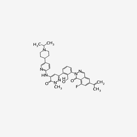 C=C(C)c1cc(F)c2c(=O)n(-c3cccc(-c4cc(Nc5ccc(C6CCN(C(C)C)CC6)cn5)c(=O)n(C)n4)c3CO)ncc2c1